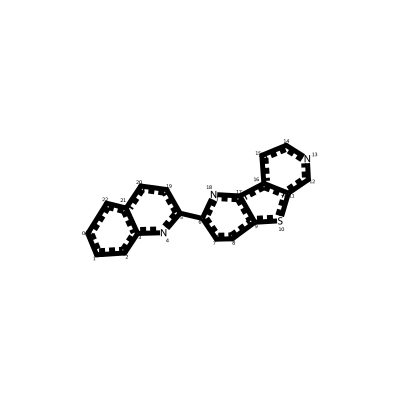 c1ccc2nc(-c3ccc4sc5cnccc5c4n3)ccc2c1